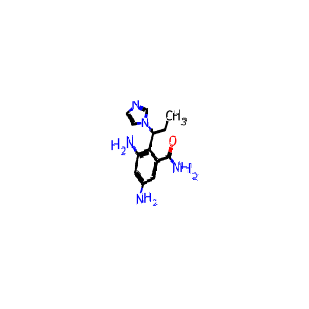 CCC(c1c(N)cc(N)cc1C(N)=O)n1ccnc1